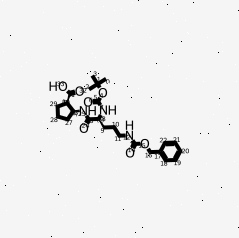 CC(C)(C)OC(=O)N[C@@H](CCCNC(=O)OCc1ccccc1)C(=O)N[C@H]1CCC[C@H]1C(=O)O